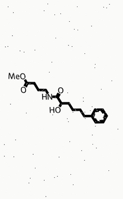 COC(=O)CCCNC(=O)C(O)CCCCc1ccccc1